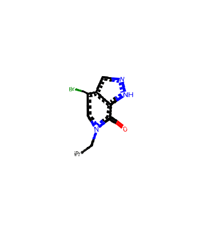 CC(C)Cn1cc(Br)c2cn[nH]c2c1=O